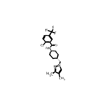 Cc1cn(C[C@H]2CC[C@H](NC(=O)c3cc(C(F)(F)F)ccc3Cl)CC2)nc1C